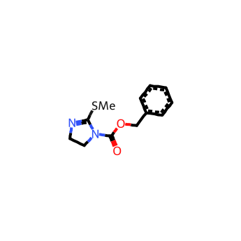 CSC1=NCCN1C(=O)OCc1ccccc1